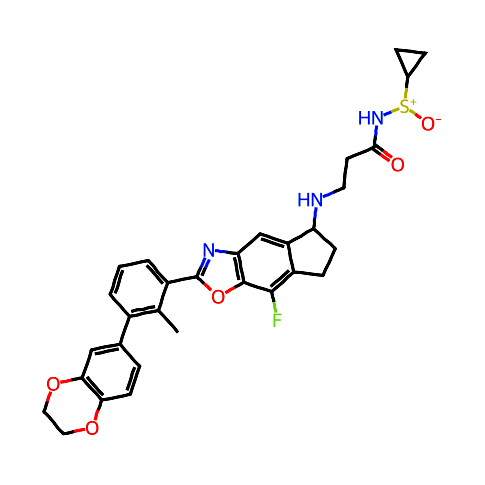 Cc1c(-c2ccc3c(c2)OCCO3)cccc1-c1nc2cc3c(c(F)c2o1)CCC3NCCC(=O)N[S+]([O-])C1CC1